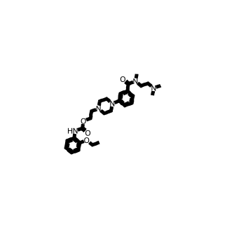 CCOc1ccccc1NC(=O)OCCN1CCN(c2cccc(C(=O)N(C)CCN(C)C)c2)CC1